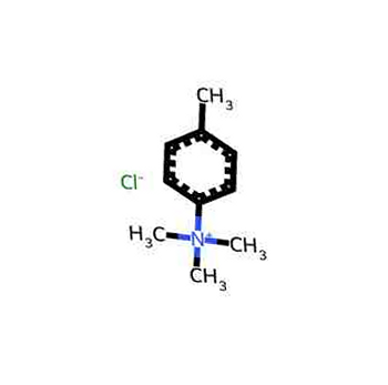 Cc1ccc([N+](C)(C)C)cc1.[Cl-]